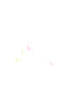 COc1ccc(Br)cc1C=C(F)F